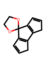 C1=CC2=C(C1)C1=C(C=CC1)C21OCCO1